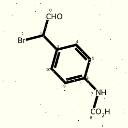 O=CC(Br)c1ccc(NC(=O)O)cc1